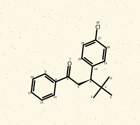 CC(C)(C)[C@@H](CC(=O)c1ccccc1)c1ccc(Cl)cc1